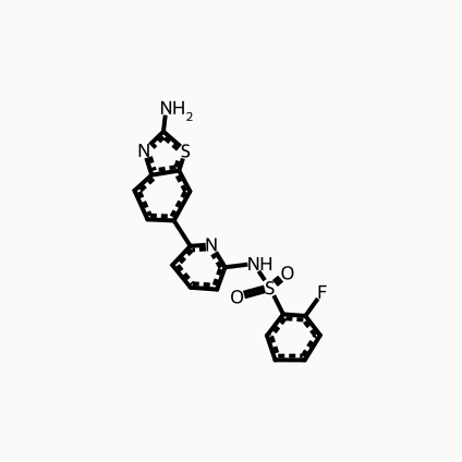 Nc1nc2ccc(-c3cccc(NS(=O)(=O)c4ccccc4F)n3)cc2s1